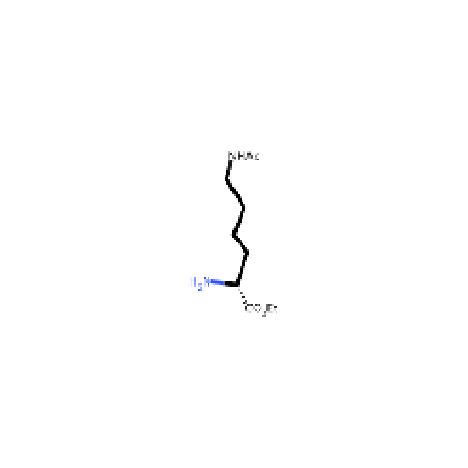 CCOC(=O)[C@H](N)CCCCNC(C)=O